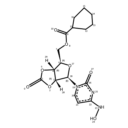 O=C1O[C@@H]2[C@H](O1)[C@@H](COC(=O)C1CCCCC1)O[C@H]2n1ccc(NO)nc1=O